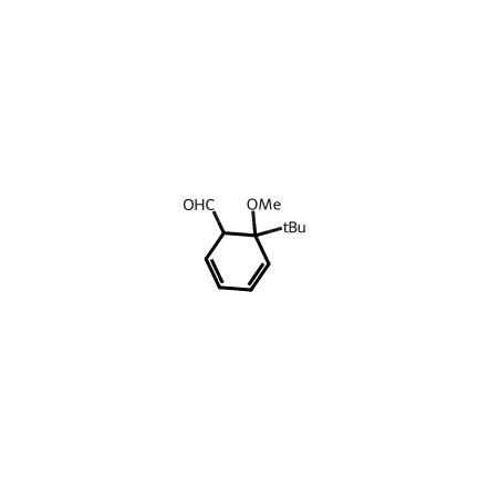 COC1(C(C)(C)C)C=CC=CC1C=O